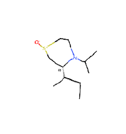 CCC(C)[C@@H]1C[S+]([O-])CCN1C(C)C